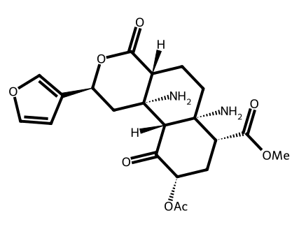 COC(=O)[C@@H]1C[C@H](OC(C)=O)C(=O)[C@H]2[C@@]1(N)CC[C@H]1C(=O)O[C@H](c3ccoc3)C[C@]21N